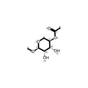 CO[C@H]1OC[C@@H](OC(C)=O)[C@H](O)[C@@H]1O